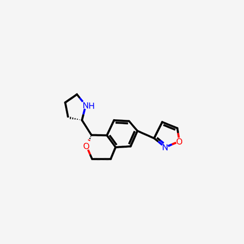 c1cc(-c2ccc3c(c2)CCO[C@@H]3[C@@H]2CCCN2)no1